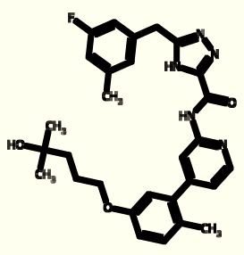 Cc1cc(F)cc(Cc2nnc(C(=O)Nc3cc(-c4cc(OCCCC(C)(C)O)ccc4C)ccn3)[nH]2)c1